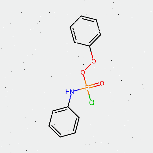 O=P(Cl)(Nc1ccccc1)OOc1ccccc1